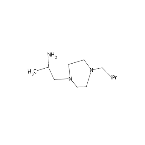 CC(C)CN1CCN(CC(C)N)CC1